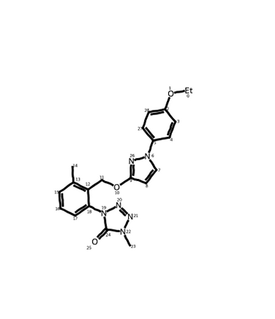 CCOc1ccc(-n2ccc(OCc3c(C)cccc3-n3nnn(C)c3=O)n2)cc1